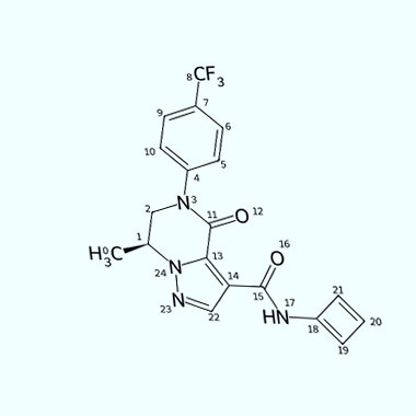 C[C@H]1CN(c2ccc(C(F)(F)F)cc2)C(=O)c2c(C(=O)NC3=CC=C3)cnn21